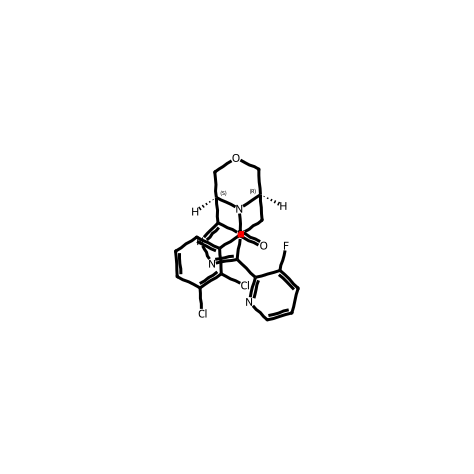 O=C(c1cccc(Cl)c1Cl)N1[C@H]2COC[C@@H]1c1nnc(-c3ncccc3F)n1C2